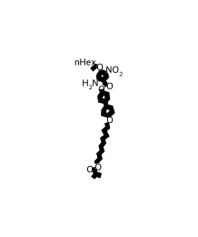 C=C(C)C(=O)OCCCCCCCCCCCOc1ccc(-c2ccc(OC(=O)c3cc([N+](=O)[O-])c(O[C@H](C)CCCCCC)cc3N)cc2)cc1